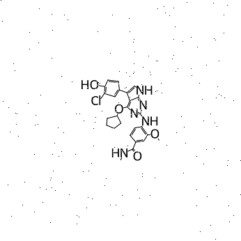 CNC(=O)c1ccc(Nc2nc(OC3CCCC3)c3c(-c4ccc(O)c(Cl)c4)c[nH]c3n2)c(OC)c1